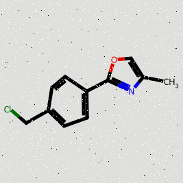 Cc1coc(-c2ccc(CCl)cc2)n1